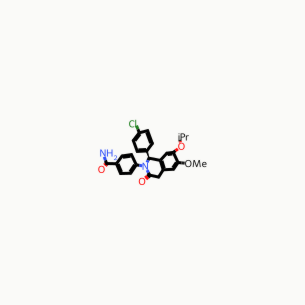 COc1cc2c(cc1OC(C)C)[C@H](c1ccc(Cl)cc1)N(c1ccc(C(N)=O)cc1)C(=O)C2